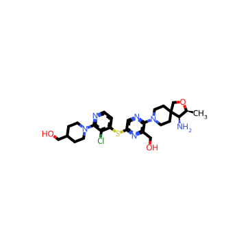 C[C@@H]1OCC2(CCN(c3ncc(Sc4ccnc(N5CCC(CO)CC5)c4Cl)nc3CO)CC2)[C@@H]1N